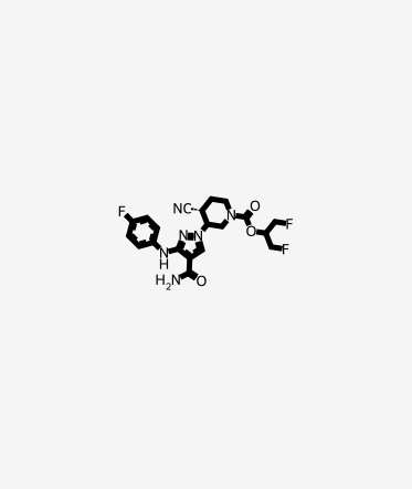 N#C[C@@H]1CCN(C(=O)OC(CF)CF)CC1n1cc(C(N)=O)c(Nc2ccc(F)cc2)n1